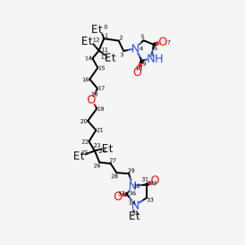 CCC(CCN1CC(=O)NC1=O)C(CC)(CC)CCCCOCCCCC(CC)(CC)CCCCN1C(=O)CN(CC)C1=O